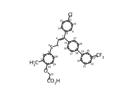 Cc1cc(SCC=C(c2ccc(Cl)cc2)c2ccc(-c3cccc(C(F)(F)F)c3)cc2)ccc1OCC(=O)O